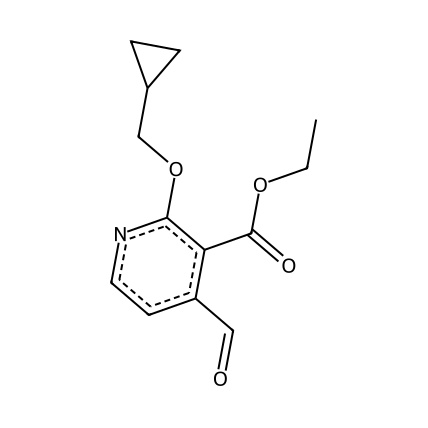 CCOC(=O)c1c(C=O)ccnc1OCC1CC1